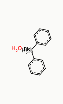 B.O.c1ccc([SiH2]c2ccccc2)cc1